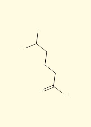 CC(=O)C(CCCC(N)=O)C(C)=O